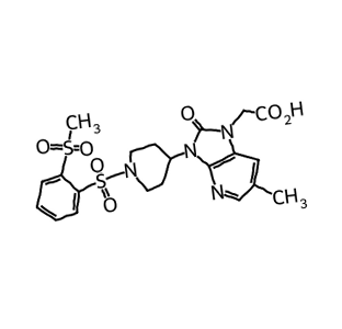 Cc1cnc2c(c1)n(CC(=O)O)c(=O)n2C1CCN(S(=O)(=O)c2ccccc2S(C)(=O)=O)CC1